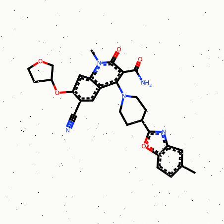 Cc1ccc2oc(C3CCN(c4c(C(N)=O)c(=O)n(C)c5cc(OC6CCOC6)c(C#N)cc45)CC3)nc2c1